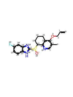 C=CCOc1c(C)cnc2c1CCCC2[S+]([O-])c1nc2cc(F)ccc2[nH]1